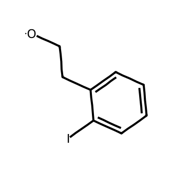 [O]CCc1ccccc1I